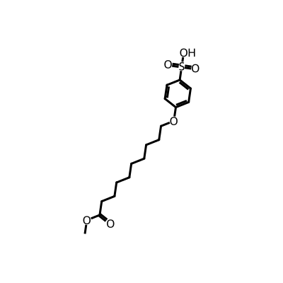 COC(=O)CCCCCCCCCOc1ccc(S(=O)(=O)O)cc1